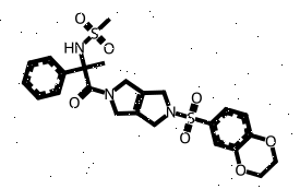 CC(NS(C)(=O)=O)(C(=O)N1CC2=C(C1)CN(S(=O)(=O)c1ccc3c(c1)OCCO3)C2)c1ccccc1